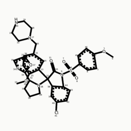 COc1ccc(S(=O)(=O)N2C(=O)C(c3cc(CN4CCNCC4)ccc3OC)(N3CCCC3c3ncco3)c3cc(Cl)ccc32)cc1